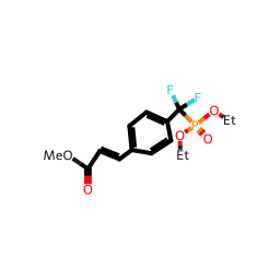 CCOP(=O)(OCC)C(F)(F)c1ccc(C=CC(=O)OC)cc1